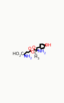 C[C@](N)(Cc1ccc(O)cc1)C(=O)OC(=O)CCC(N)C(=O)O